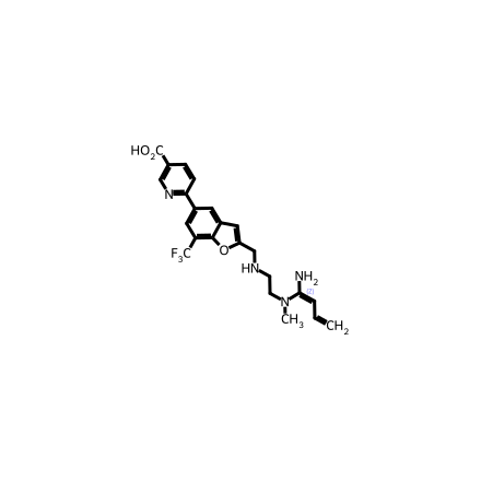 C=C/C=C(/N)N(C)CCNCc1cc2cc(-c3ccc(C(=O)O)cn3)cc(C(F)(F)F)c2o1